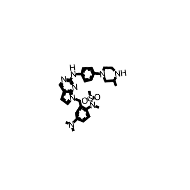 CC1CN(c2ccc(Nc3ncc4ccn(Cc5cc(N(C)C)ccc5N(C)S(C)(=O)=O)c4n3)cc2)CCN1